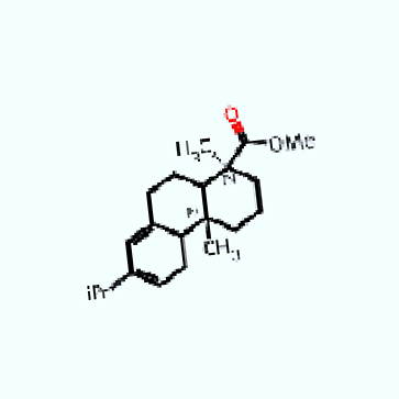 COC(=O)[C@@]1(C)CCC[C@]2(C)C3CC=C(C(C)C)C=C3CCC21